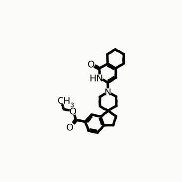 CCOC(=O)c1ccc2c(c1)C1(CC2)CCN(c2cc3c(c(=O)[nH]2)CCCC3)CC1